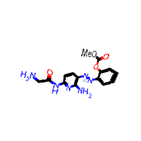 COC(=O)Oc1ccccc1/N=N/c1ccc(NC(=O)CN)nc1N